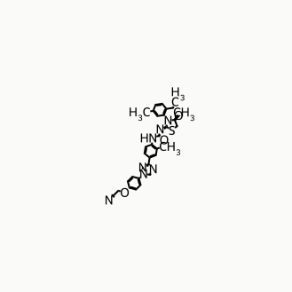 Cc1ccc(C(C)C)c(N2C(=O)CSC2=NC(=O)Nc2ccc(-c3ncn(-c4ccc(OCC#N)cc4)n3)cc2C)c1